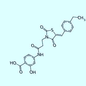 CCc1ccc(/C=C2\SC(=O)N(CCC(=O)Nc3ccc(C(=O)O)c(O)c3)C2=O)cc1